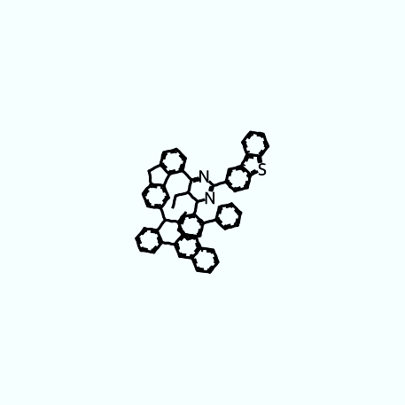 CCC1C(c2cccc3c2-c2cc(C4c5ccccc5-c5cc6ccccc6cc5C4C)ccc2C3)=NC(c2ccc3sc4ccccc4c3c2)=NC1c1ccccc1-c1ccccc1